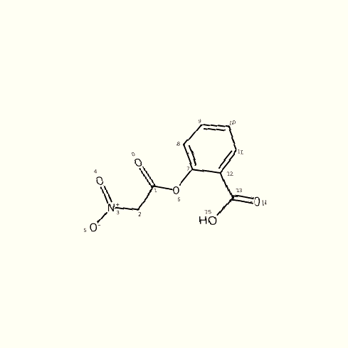 O=C(C[N+](=O)[O-])Oc1ccccc1C(=O)O